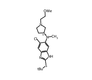 COCCN1CC[C@H](N(C)c2cc3[nH]c(SC(C)(C)C)nc3cc2Cl)C1